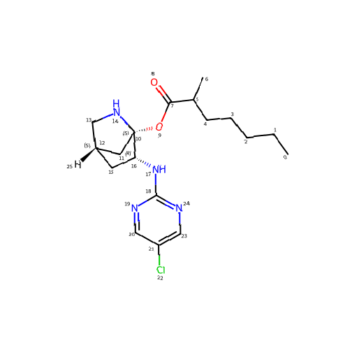 CCCCCC(C)C(=O)O[C@]12C[C@@H](CN1)C[C@H]2Nc1ncc(Cl)cn1